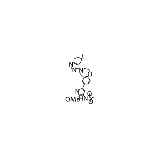 COc1ncc(-c2ccc3c(c2)CN(c2ncnc4c2CC(C)(C)CC4)CCO3)cc1NS(C)(=O)=O